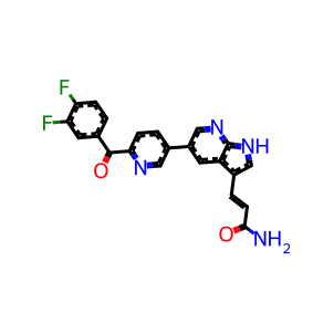 NC(=O)C=Cc1c[nH]c2ncc(-c3ccc(C(=O)c4ccc(F)c(F)c4)nc3)cc12